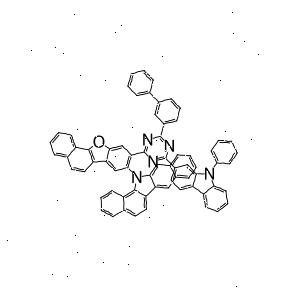 c1ccc(-c2cccc(-c3nc(-c4ccc5c6ccccc6n(-c6ccccc6)c5c4)nc(-c4cc5oc6c7ccccc7ccc6c5cc4-n4c5cc6ccccc6cc5c5ccc6ccccc6c54)n3)c2)cc1